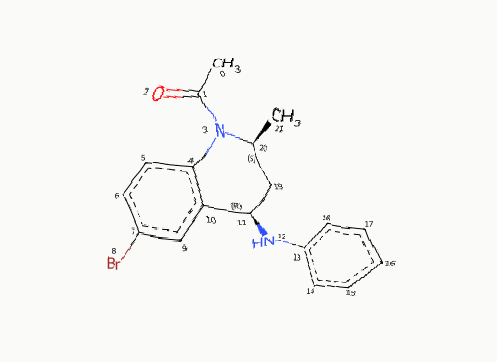 CC(=O)N1c2ccc(Br)cc2[C@H](Nc2ccccc2)C[C@@H]1C